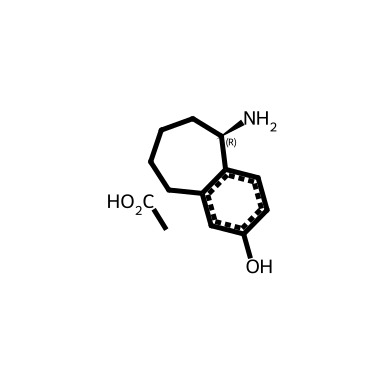 CC(=O)O.N[C@@H]1CCCCc2cc(O)ccc21